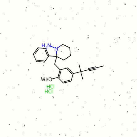 CC#CC(C)(C)c1ccc(OC)c(CC2(c3ccccc3)CCCCN2N)c1.Cl.Cl